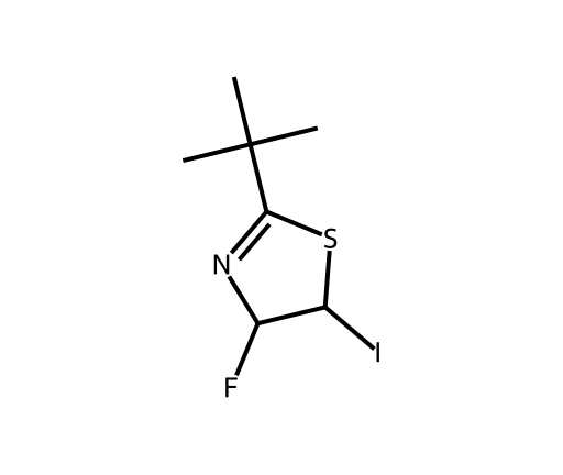 CC(C)(C)C1=NC(F)C(I)S1